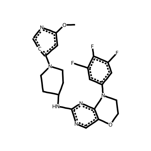 COc1cc(N2CCC(Nc3ncc4c(n3)N(c3cc(F)c(F)c(F)c3)CCO4)CC2)ccn1